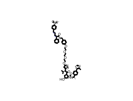 Cc1ncsc1-c1ccc([C@H](C)NC(=O)[C@@H]2C[C@@H](O)CC2C(=O)[C@H](c2cc(OCCOCCOCCOc3ccc(CN4C(=O)/C(=C\C=C\c5ccc([N+](=O)[O-])cc5)c5ccccc54)cc3)no2)C(C)C)cc1